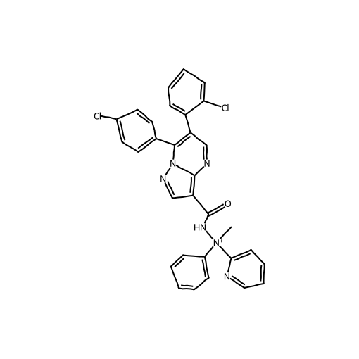 C[N+](NC(=O)c1cnn2c(-c3ccc(Cl)cc3)c(-c3ccccc3Cl)cnc12)(c1ccccc1)c1ccccn1